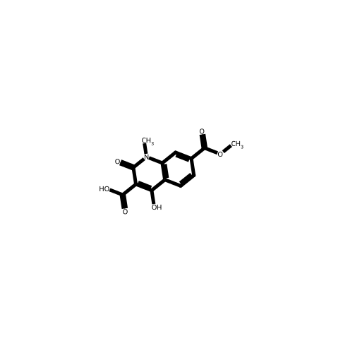 COC(=O)c1ccc2c(O)c(C(=O)O)c(=O)n(C)c2c1